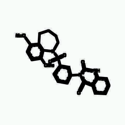 COc1ccc(OC)c2c1CCCCN2S(=O)(=O)c1cccc(-n2c(=O)[nH]c3ccccc3c2=O)c1